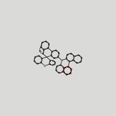 c1ccc(-c2c(N(c3ccc4c(c3)C3(c5ccccc5Oc5ccccc53)c3cccc5cccc-4c35)c3cccc4ccccc34)ccc3ccccc23)cc1